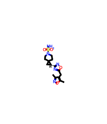 Cc1noc(C)c1Cc1nc([C@@H]2CC23CCN(S(N)(=O)=O)CC3)no1